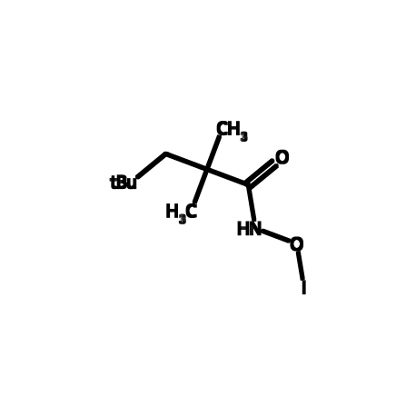 CC(C)(C)CC(C)(C)C(=O)NOI